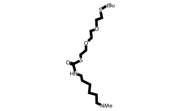 CNCCCCCCNC(=O)SCCOCCOCCSC(C)(C)C